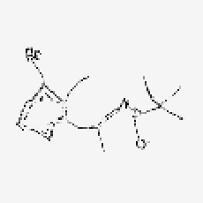 CC(=N[S+]([O-])C(C)(C)C)c1cccc(Br)c1C